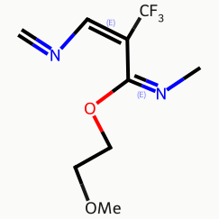 C=N/C=C(\C(=N/C)OCCOC)C(F)(F)F